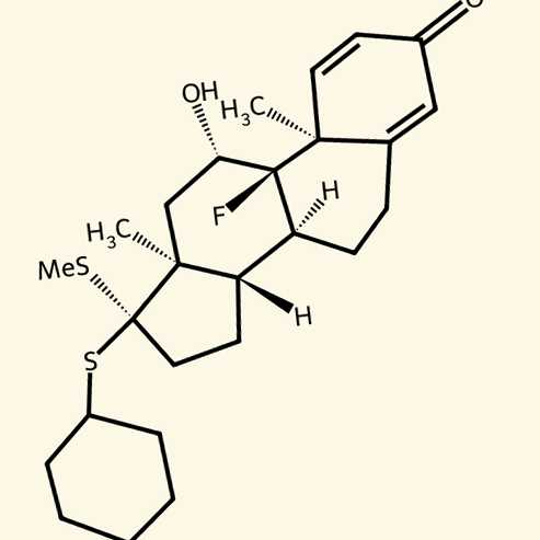 CS[C@@]1(SC2CCCCC2)CC[C@H]2[C@@H]3CCC4=CC(=O)C=C[C@]4(C)[C@@]3(F)[C@@H](O)C[C@@]21C